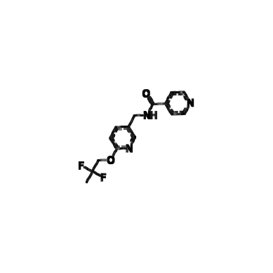 CC(F)(F)COc1ccc(CNC(=O)c2ccncc2)cn1